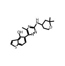 Cc1nc(NC2CCOC(C)(C)C2)nnc1-c1ccc2sccc2c1O